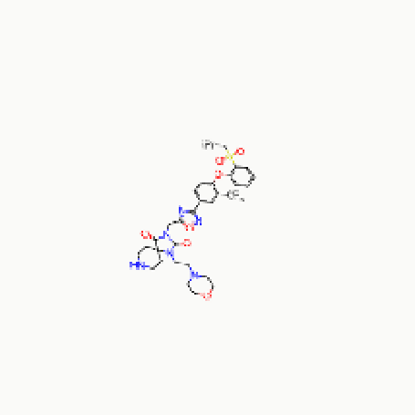 CC(C)CS(=O)(=O)c1ccccc1Oc1ccc(-c2noc(CN3C(=O)N(CCN4CCOCC4)C4(CCNCC4)C3=O)n2)cc1C(F)(F)F